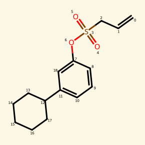 C=CCS(=O)(=O)Oc1cccc(C2CCCCC2)c1